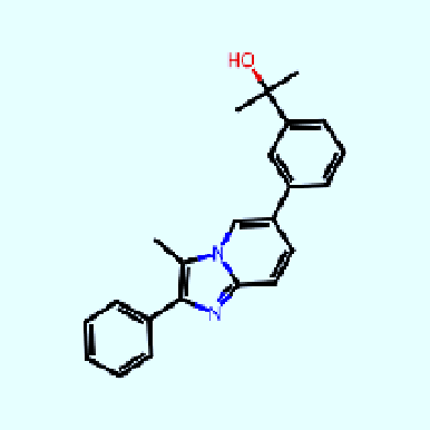 Cc1c(-c2ccccc2)nc2ccc(-c3cccc(C(C)(C)O)c3)cn12